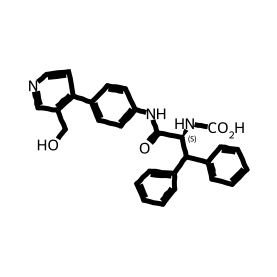 O=C(O)N[C@H](C(=O)Nc1ccc(-c2ccncc2CO)cc1)C(c1ccccc1)c1ccccc1